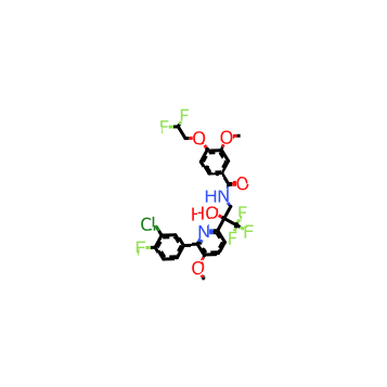 COc1cc(C(=O)NCC(O)(c2ccc(OC)c(-c3ccc(F)c(Cl)c3)n2)C(F)(F)F)ccc1OCC(F)F